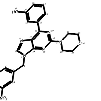 O=[N+]([O-])c1cccc(Cn2cnc3c(-c4cccc(O)c4)nc(N4CCOCC4)nc32)c1